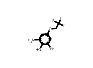 Nc1cc(OCC(F)(F)F)cc(Br)c1O